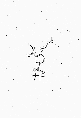 COCCOc1ncc(B2OC(C)(C)C(C)(C)O2)cc1C(=O)OC